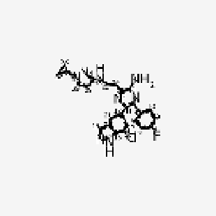 Nc1nc(-c2ccc(F)cc2)c(-c2cc(Cl)c3[nH]ncc3c2)nc1CCNc1ccn(C2CC2)n1